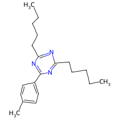 CCCCCc1nc(CCCCC)nc(-c2ccc(C)cc2)n1